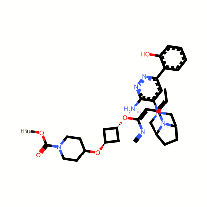 C=N/C(=C\C(=C/C)N1C2CCC1CN(c1cc(-c3ccccc3O)nnc1N)C2)O[C@H]1C[C@H](OC2CCN(C(=O)OC(C)(C)C)CC2)C1